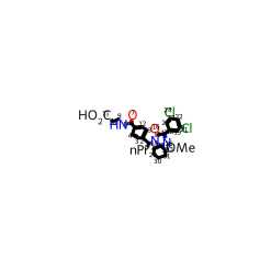 CCCC(c1ccc(C(=O)NCCC(=O)O)cc1)N1C(=O)C(c2cc(Cl)cc(Cl)c2)=NC12CCCCC2OC